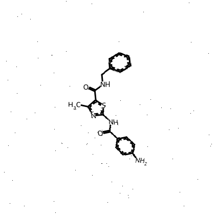 Cc1nc(NC(=O)c2ccc(N)cc2)sc1C(=O)NCc1ccccc1